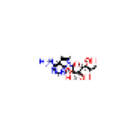 CC[C@@H](O)[C@H]1O[C@@H](n2ccc3c(N)ncnc32)[C@](C)(O)[C@@H]1O